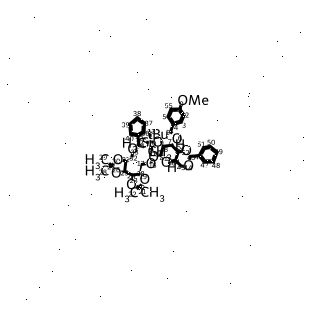 COc1ccc(CO[C@@H]2[C@H](O[Si](C)(C)C(C)(C)C)[C@H](OOC[C@H]3OC(C)(C)O[C@H]3[C@@H]3OC(C)(C)O[C@@H]3COCc3ccccc3)O[C@@H]3COC(c4ccccc4)O[C@@H]23)cc1